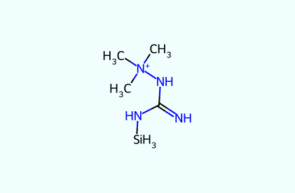 C[N+](C)(C)NC(=N)N[SiH3]